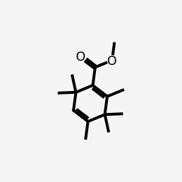 COC(=O)C1=C(C)C(C)(C)C(C)=CC1(C)C